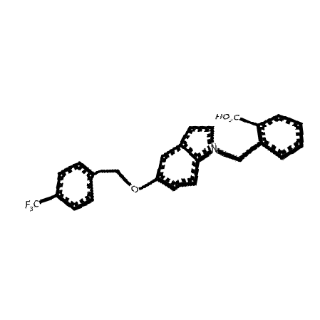 O=C(O)c1ccccc1Cn1ccc2cc(OCc3ccc(C(F)(F)F)cc3)ccc21